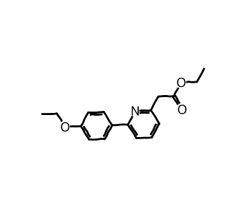 CCOC(=O)Cc1cccc(-c2ccc(OCC)cc2)n1